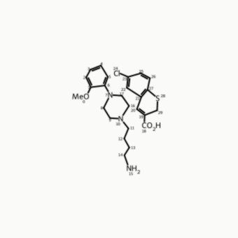 COc1ccccc1N1CCN(CCCCN)CC1.O=C(O)C1=Cc2cc(Cl)ccc2SC1